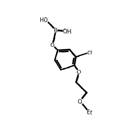 CCOCCOc1ccc(OB(O)O)cc1Cl